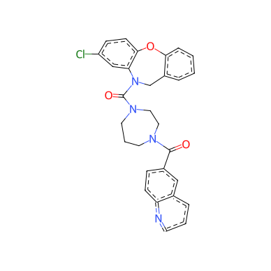 O=C(c1ccc2ncccc2c1)N1CCCN(C(=O)N2Cc3ccccc3Oc3ccc(Cl)cc32)CC1